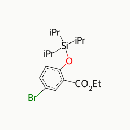 CCOC(=O)c1cc(Br)ccc1O[Si](C(C)C)(C(C)C)C(C)C